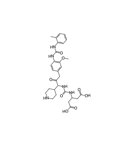 COc1cc(CC(=O)C(NC(=O)NC(CC(=O)O)CC(=O)O)C2CCNCC2)ccc1NC(=O)Nc1ccccc1C